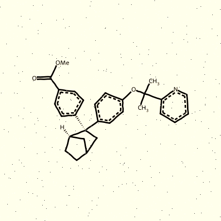 COC(=O)c1ccc([C@]2(c3ccc(OC(C)(C)c4ccccn4)cc3)CC3CC[C@@H]2C3)cc1